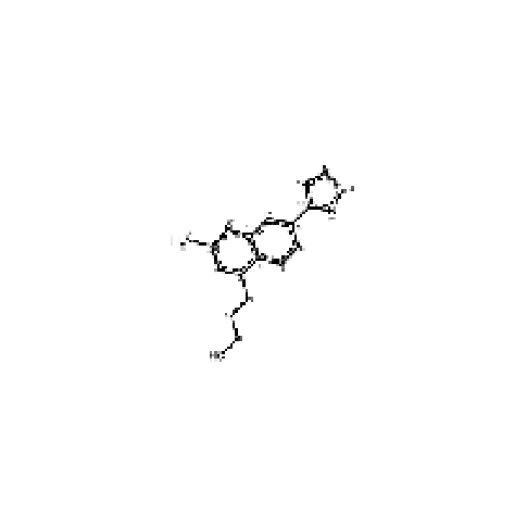 Nc1cc(CCCO)c2ccc(-c3ccsn3)cc2n1